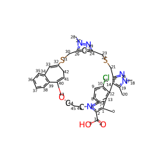 Cc1c(C(=O)O)n2c3ccc(Cl)c(c13)-c1c(nn(C)c1C)CSCc1cc(n(C)n1)CSC1=Cc3ccccc3C(=CC1)OCCC2